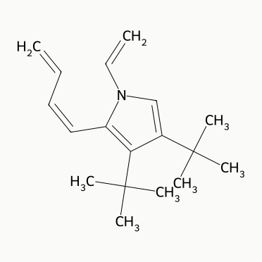 C=C/C=C\c1c(C(C)(C)C)c(C(C)(C)C)cn1C=C